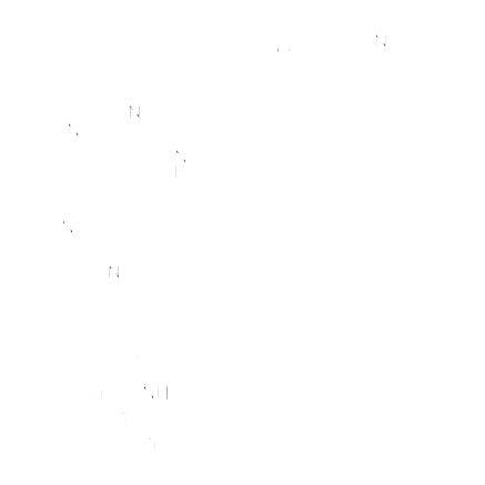 Cc1ccc(Oc2ccc(Nc3ncnc4cnc(N5CC6C(C5)C6NS(C)(=O)=O)cc34)cc2C)cn1